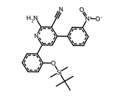 CC(C)(C)[Si](C)(C)Oc1ccccc1-c1cc(-c2cccc([N+](=O)[O-])c2)c(C#N)c(N)n1